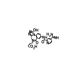 N=C(N)c1ccnc(C(=O)Nc2ccc3c(c2)C(=O)N(CCC(=O)O)Cc2nnc(O)n2-3)c1